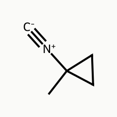 [C-]#[N+]C1(C)CC1